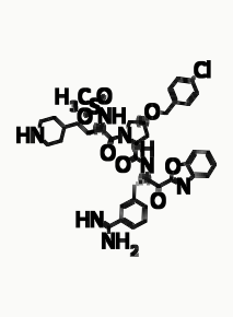 CS(=O)(=O)N[C@H](CCC1CCNCC1)C(=O)N1C[C@H](OCc2ccc(Cl)cc2)C[C@H]1C(=O)N[C@@H](Cc1cccc(C(=N)N)c1)C(=O)c1nc2ccccc2o1